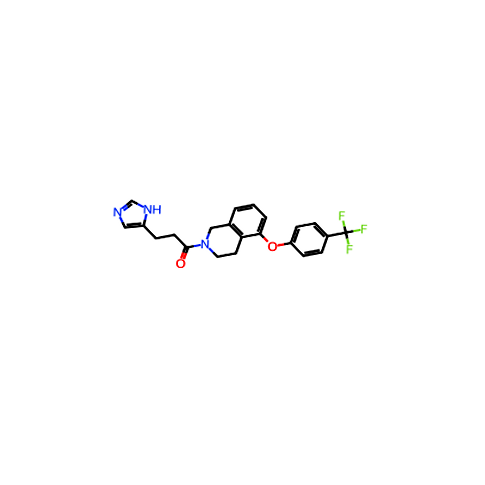 O=C(CCc1cnc[nH]1)N1CCc2c(cccc2Oc2ccc(C(F)(F)F)cc2)C1